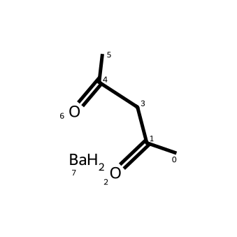 CC(=O)CC(C)=O.[BaH2]